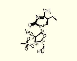 CCc1cn([C@@H]2O[C@H](CO)[C@H](OS(C)(=O)=O)[C@H]2O)c(=O)nc1N